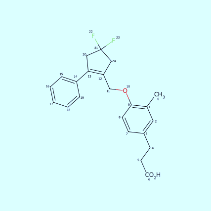 Cc1cc(CCC(=O)O)ccc1OCC1=C(c2ccccc2)CC(F)(F)C1